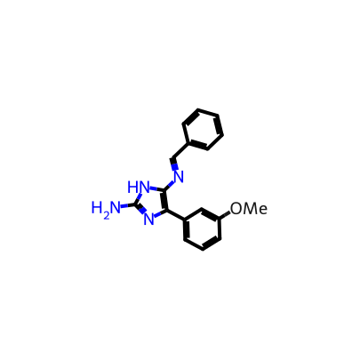 COc1cccc(-c2nc(N)[nH]c2N=Cc2ccccc2)c1